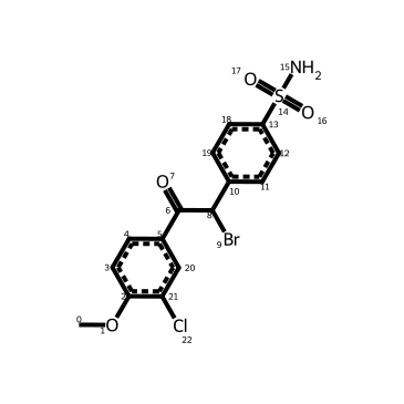 COc1ccc(C(=O)C(Br)c2ccc(S(N)(=O)=O)cc2)cc1Cl